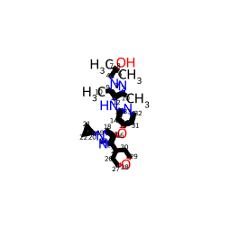 Cc1nn(CC(C)(C)O)c(C)c1Nc1cc(Oc2cn(C3CC3)nc2C2CCOCC2)ccn1